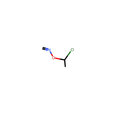 C=NOC(C)Cl